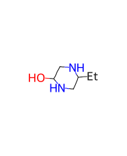 CCC1CNC(O)CN1